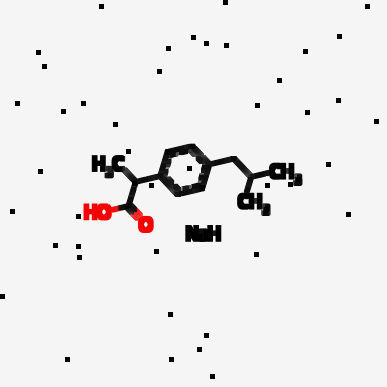 CC(C)Cc1ccc(C(C)C(=O)O)cc1.[NaH]